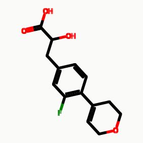 O=C(O)C(O)Cc1ccc(C2=CCOCC2)c(F)c1